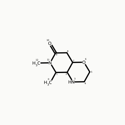 CC1C2NCCOC2CC(=O)N1C